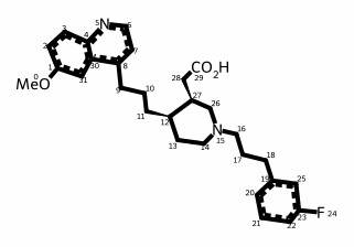 COc1ccc2nccc(CCC[C@@H]3CCN(CCCc4cccc(F)c4)C[C@@H]3CC(=O)O)c2c1